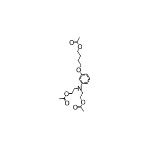 CC(=O)OCCCCOc1cccc(N(CCOC(C)=O)CCOC(C)=O)c1